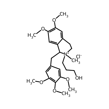 COc1cc2c(cc1OC)C(Cc1cc(OC)c(OC)c(OC)c1)[N+](C)(CCCO)CC2.[Cl-]